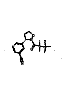 CC(F)(F)C(C)(C)C(=O)N1OCC[C@H]1c1cncc(C#N)c1